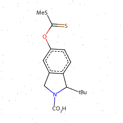 CSC(=S)Oc1ccc2c(c1)CN(C(=O)O)C2C(C)(C)C